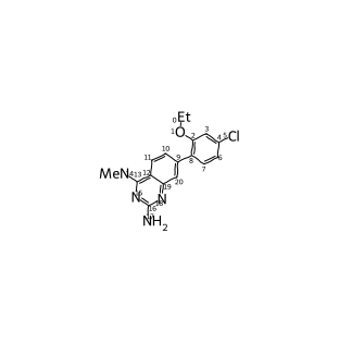 CCOc1cc(Cl)ccc1-c1ccc2c(NC)nc(N)nc2c1